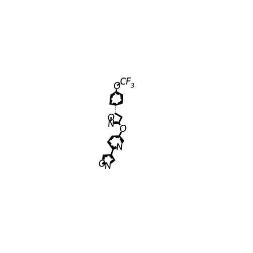 FC(F)(F)Oc1ccc([C@@H]2CC(Oc3ccc(-c4cnoc4)nc3)=NO2)cc1